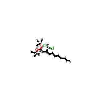 CCCCCCCCC([SiH2]C(O[Si](C)(C)C)O[Si](C)(C)C)[SiH](Cl)Cl